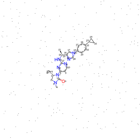 CC(C)C1CN(C)C(=O)N1c1ccnc(N[C@@H](C)c2cn(-c3ccc(C4CC4)cc3)cn2)n1